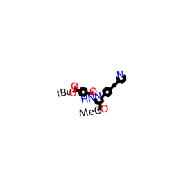 COC(=O)c1cc(NC(=O)c2ccc(C(=O)OC(C)(C)C)cc2)nc(-c2ccc(C#Cc3cccnc3)cc2)c1